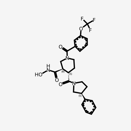 O=C(NO)[C@H]1CN(C(=O)c2cccc(OC(F)(F)F)c2)CC[C@@H]1C(=O)N1CC[C@@H](c2ccccc2)C1